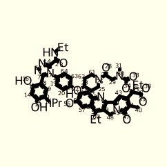 CCNC(=O)c1nnc(-c2cc(C(C)C)c(O)cc2O)n1-c1ccc(OC2CCN(C(=O)CN(C)C(=O)O[C@]3(CC)C(=O)OCc4c3cc3n(c4=O)Cc4c-3nc3ccc(O)cc3c4CC)CC2)cc1